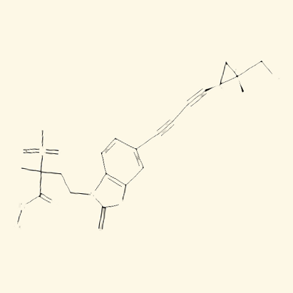 CC(CCn1c(=O)sc2cc(C#CC#C[C@H]3C[C@]3(F)CO)ccc21)(C(=O)NO)S(C)(=O)=O